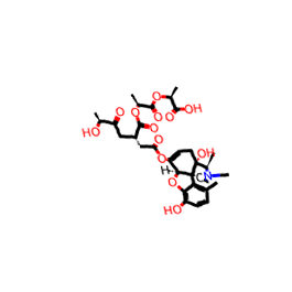 Cc1ccc(O)c2c1[C@]13CCN(C)[C@H](C)[C@]1(O)CC=C(OC(=O)C[C@H](CC(=O)[C@H](C)O)C(=O)O[C@@H](C)C(=O)O[C@@H](C)C(=O)O)[C@@H]3O2